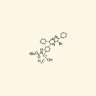 CC(C)(C)OC(=O)N[C@]1(c2ccc(-c3nc4c(Br)c(-c5ccccc5)nn4cc3-c3ccccc3)cc2)C[C@@](C)(O)C1